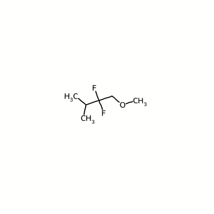 COCC(F)(F)C(C)C